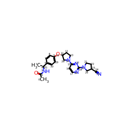 CC(=O)N[C@@H](C)c1ccc(O[C@@H]2CCN(c3ccnc(N4CCC(C#N)C4)n3)C2)cc1